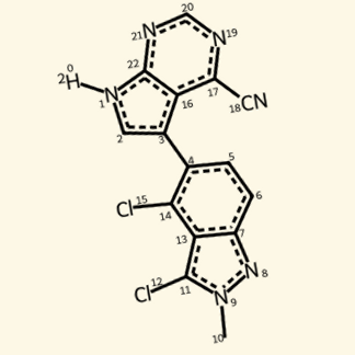 [2H]n1cc(-c2ccc3nn(C)c(Cl)c3c2Cl)c2c(C#N)ncnc21